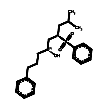 CC(C)CN(C[C@H](O)[CH]CCc1ccccc1)S(=O)(=O)c1ccccc1